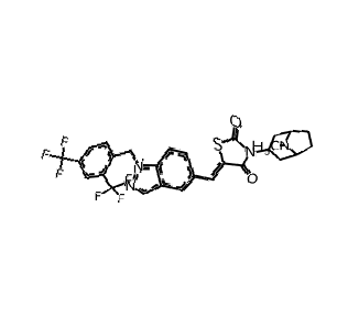 CN1C2CCC1CC(N1C(=O)S/C(=C\c3ccc4c(cnn4Cc4ccc(C(F)(F)F)cc4C(F)(F)F)c3)C1=O)C2